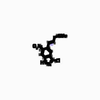 CSC/C=C/c1cc2c(Cl)n[nH]c2cc1[N+](=O)[O-]